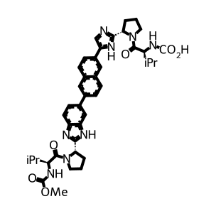 COC(=O)N[C@H](C(=O)N1CCC[C@H]1c1nc2ccc(-c3ccc4cc(-c5cnc([C@@H]6CCCN6C(=O)[C@@H](NC(=O)O)C(C)C)[nH]5)ccc4c3)cc2[nH]1)C(C)C